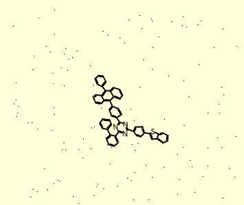 c1ccc(-c2ccccc2-c2nc(-c3ccc(-c4cc5ccccc5s4)cc3)nc(-c3ccc(-c4c5ccccc5c(-c5ccccc5)c5ccccc45)cc3)n2)cc1